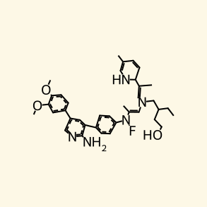 CCC(CCO)CN(/C=C(\C)C1C=CC(C)=CN1)/C=C(\C)N(F)c1ccc(-c2cc(-c3ccc(OC)c(OC)c3)cnc2N)cc1